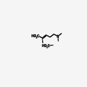 CC(=CCCN(C)C)C(=O)O.CC(=O)O